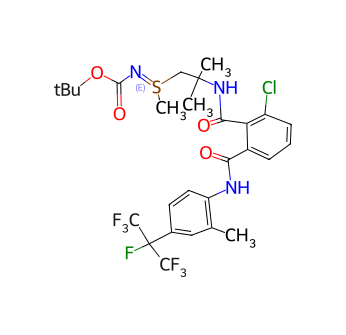 Cc1cc(C(F)(C(F)(F)F)C(F)(F)F)ccc1NC(=O)c1cccc(Cl)c1C(=O)NC(C)(C)C/S(C)=N/C(=O)OC(C)(C)C